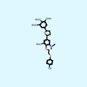 COc1cc(C2CCC(c3cc(OC)c(OCCSc4ccc(C#N)cc4)c(N(C)C)c3)S2)cc(OC)c1OC